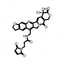 CC[C@@]1(O)C(=O)OCc2c1cc1n(c2=O)Cc2c-1nc1cc3c(cc1c2CNC(=O)CCN1C(=O)C=CC1=O)CCO3